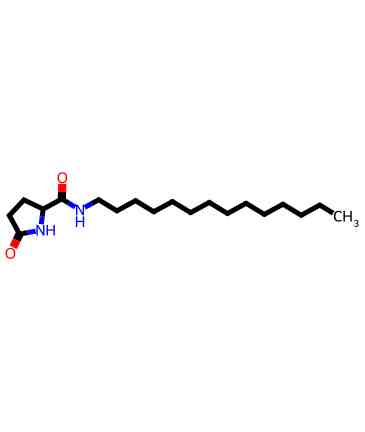 CCCCCCCCCCCCCCNC(=O)C1CCC(=O)N1